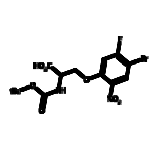 CC(C)(C)OC(=O)NC(COc1cc(F)c(Br)cc1[N+](=O)[O-])C(=O)O